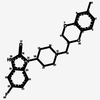 Cc1ccc2c(c1)OCC(CN1CCC(n3c(=O)[nH]c4cc(F)ccc43)CC1)O2